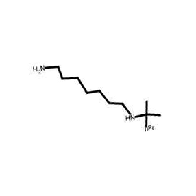 CCCC(C)(C)NCCCCCCCN